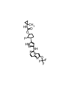 CC1(NC(=O)O[C@H]2CC[C@@H](c3cc(Nc4nccc5nc(OC(F)(F)F)cn45)n[nH]3)[C@H]2F)CC1